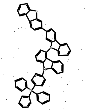 c1ccc([Si](c2ccccc2)(c2ccccc2)c2ccc(-n3c4ccccc4c4c(-n5c6ccccc6c6ccc(-c7ccc8c(c7)sc7ccccc78)cc65)cccc43)cc2)cc1